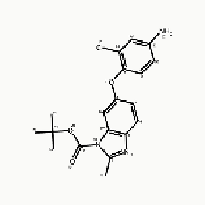 Cc1nc2ccc(Oc3ccc(N)cc3Cl)cc2n1C(=O)OC(C)(C)C